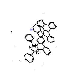 C=CC1=C(/C=C\C)c2ccc(-c3ccccc3-c3nc(C4=CCC=CC=C4)nc(-c4ccccc4)n3)cc2C12c1ccccc1-c1c2c2ccccc2c2ccccc12